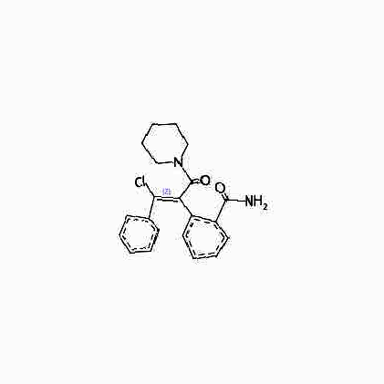 NC(=O)c1ccccc1/C(C(=O)N1CCCCC1)=C(/Cl)c1ccccc1